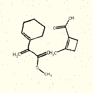 C=C(C(=O)OC)C1=CCCCC1.CC1=C(C(=O)O)CC1